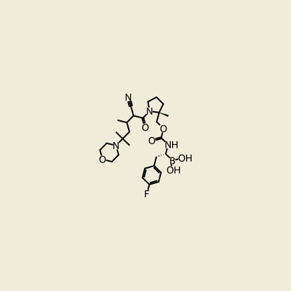 CC(CC(C)(C)N1CCOCC1)C(C#N)C(=O)N1CCC[C@]1(C)COC(=O)N[C@@H](Cc1ccc(F)cc1)B(O)O